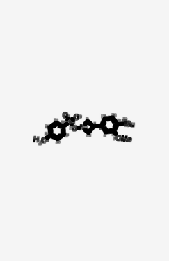 COc1cc(C2CN(OS(=O)(=O)c3ccc(C)cc3)C2)ccc1C(C)(C)C